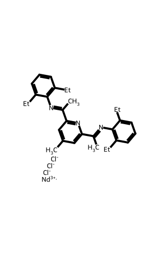 CCc1cccc(CC)c1N=C(C)c1cc(C)cc(C(C)=Nc2c(CC)cccc2CC)n1.[Cl-].[Cl-].[Cl-].[Nd+3]